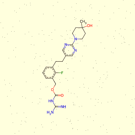 CC1(O)CCN(c2ncc(CCc3cccc(COC(=O)NC(=N)N)c3F)cn2)CC1